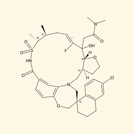 C[C@@H]1[C@@H](C)C/C=C(\F)C(O)(CC(=O)N(C)C)[C@@H]2OCC[C@H]2CN2C[C@@]3(CCCc4cc(Cl)ccc43)COc3ccc(cc32)C(=O)NS1(=O)=O